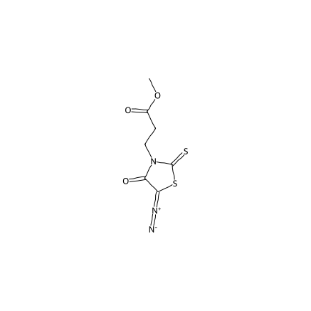 COC(=O)CCN1C(=O)C(=[N+]=[N-])SC1=S